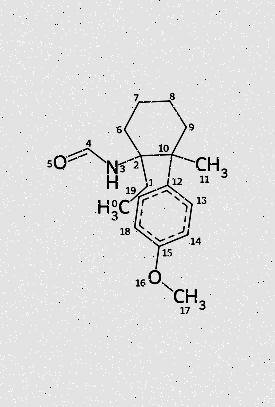 CCC1(NC=O)CCCCC1(C)c1ccc(OC)cc1